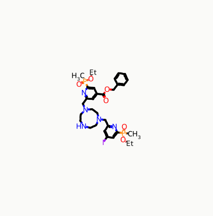 CCOP(C)(=O)c1cc(I)cc(CN2CCNCCN(Cc3cc(C(=O)OCc4ccccc4)cc(P(C)(=O)OCC)n3)CC2)n1